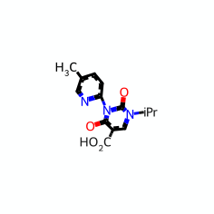 Cc1ccc(-n2c(=O)c(C(=O)O)cn(C(C)C)c2=O)nc1